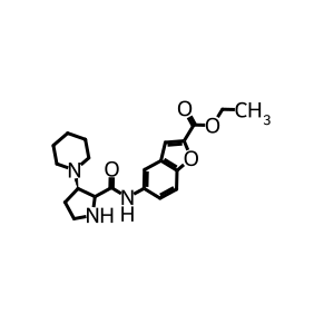 CCOC(=O)c1cc2cc(NC(=O)C3NCC[C@H]3N3CCCCC3)ccc2o1